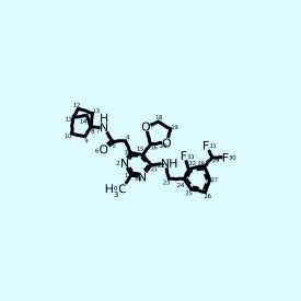 Cc1nc(CC(=O)NC23CCC(CC2)C3)c(C2OCCO2)c(NCc2cccc(C(F)F)c2F)n1